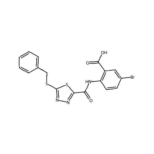 O=C(Nc1ccc(Br)cc1C(=O)O)c1nnc(SCc2ccccc2)s1